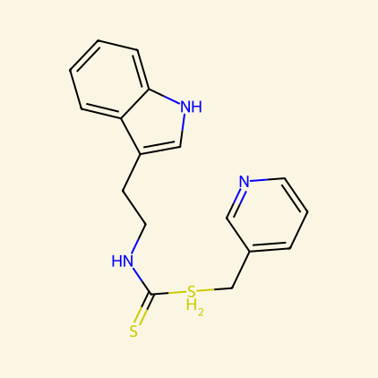 S=C(NCCc1c[nH]c2ccccc12)[SH2]Cc1cccnc1